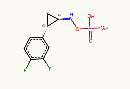 O=P(O)(O)ON[C@@H]1C[C@H]1c1ccc(F)c(F)c1